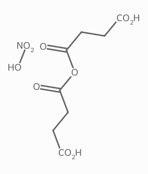 O=C(O)CCC(=O)OC(=O)CCC(=O)O.O=[N+]([O-])O